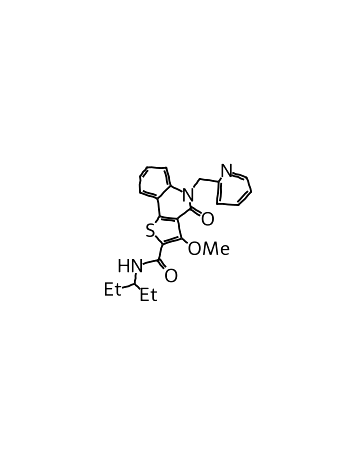 CCC(CC)NC(=O)c1sc2c(c1OC)c(=O)n(Cc1ccccn1)c1ccccc21